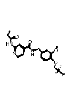 CCC(=O)Nc1cc(C(=O)NCc2ccc(OCC(F)(F)F)c(OC)c2)ccn1